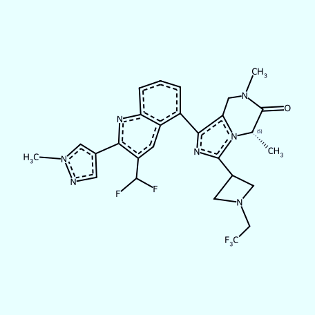 C[C@H]1C(=O)N(C)Cc2c(-c3cccc4nc(-c5cnn(C)c5)c(C(F)F)cc34)nc(C3CN(CC(F)(F)F)C3)n21